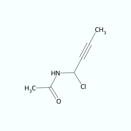 CC#CC(Cl)NC(C)=O